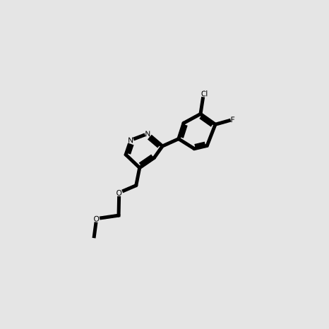 COCOCc1cnnc(-c2ccc(F)c(Cl)c2)c1